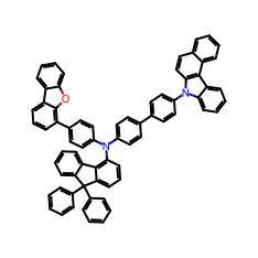 c1ccc(C2(c3ccccc3)c3ccccc3-c3c(N(c4ccc(-c5ccc(-n6c7ccccc7c7c8ccccc8ccc76)cc5)cc4)c4ccc(-c5cccc6c5oc5ccccc56)cc4)cccc32)cc1